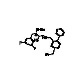 CC(=O)N[C@@H](Cc1cc(F)cc(F)c1)C(S)CNCc1cc(CC(C)C)ccc1-c1ccccc1